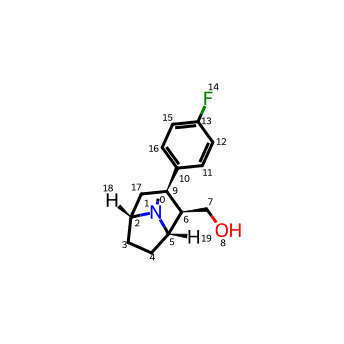 CN1[C@@H]2CC[C@H]1[C@H](CO)[C@H](c1ccc(F)cc1)C2